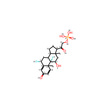 CC12CC(O)[C@@]3(F)C(C[C@H](F)C4=CC(=O)C=CC43C)C1CCC2C(=O)COP(=O)(O)O